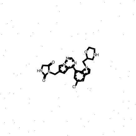 O=C1CNC(=O)N1Cc1cc2c(-c3cc(Cl)cc4ccn(CC5CNCCO5)c34)ncnn2c1